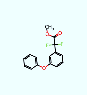 COC(=O)C(F)(F)c1cccc(Oc2ccccc2)c1